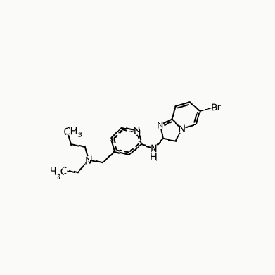 CCCN(CC)Cc1ccnc(NC2CN3C=C(Br)C=CC3=N2)c1